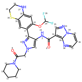 O=C(Nc1cn(CC(=O)N2CCCCC2)nc1-c1cc2c(cc1OC(F)F)NCCS2)c1cnn2cccnc12